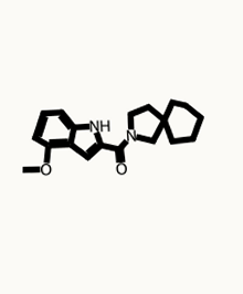 COc1cccc2[nH]c(C(=O)N3CCC4(CCCCC4)C3)cc12